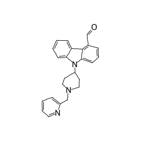 O=Cc1cccc2c1c1ccccc1n2C1CCN(Cc2ccccn2)CC1